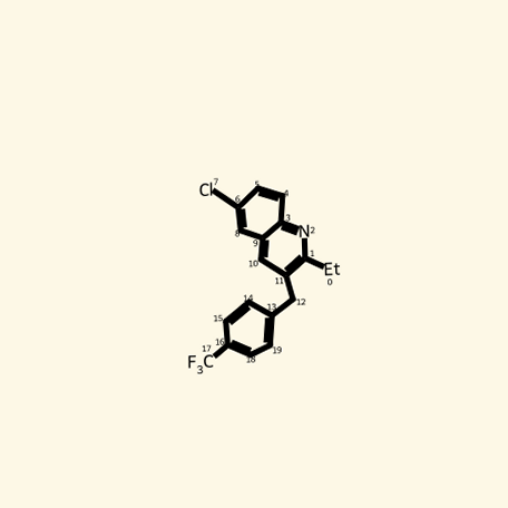 CCc1nc2ccc(Cl)cc2cc1Cc1ccc(C(F)(F)F)cc1